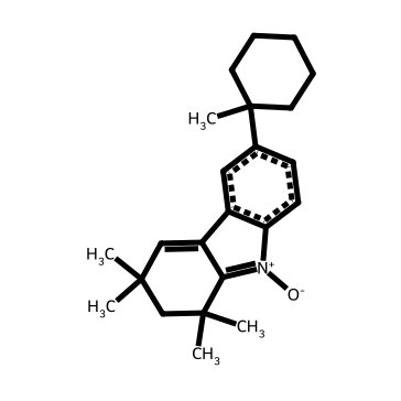 CC1(C)C=C2C(=[N+]([O-])c3ccc(C4(C)CCCCC4)cc32)C(C)(C)C1